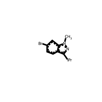 CC(C)c1nn(C)c2cc(Br)ccc12